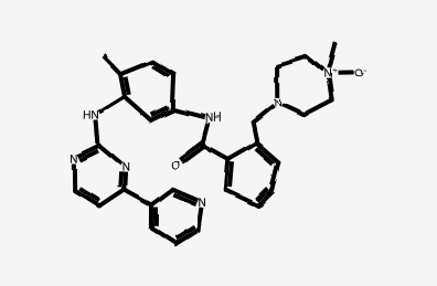 Cc1ccc(NC(=O)c2ccccc2CN2CC[N+](C)([O-])CC2)cc1Nc1nccc(-c2cccnc2)n1